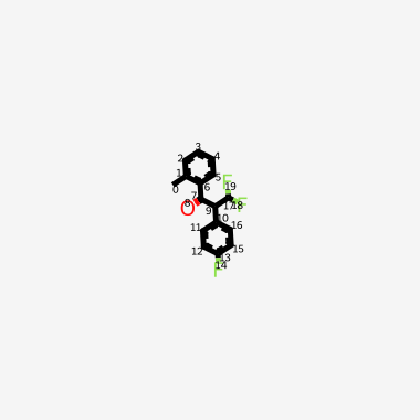 Cc1ccccc1C(=O)C(c1ccc(F)cc1)C(F)F